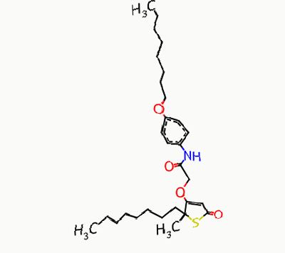 CCCCCCCCOc1ccc(NC(=O)COC2=CC(=O)SC2(C)CCCCCCCC)cc1